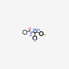 O=C(Nc1n[nH]c(-c2ccc(F)cc2)c1-c1ccncc1)C1CCCCC1